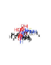 C=C[C@@H]1C[C@]1(NC(=O)[C@@H]1C[C@@H](Oc2cc(-c3csc(NC(C)C)n3)nc3cc(OCCO)ccc23)CN1C(=O)[C@@H](NC(=O)O[C@H]1CC[C@@H](C)C1)C(C)(C)C)C(=O)O